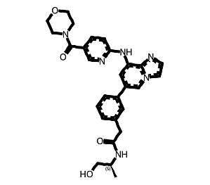 C[C@@H](CO)NC(=O)Cc1cccc(-c2cc(Nc3ccc(C(=O)N4CCOCC4)cn3)c3nccn3c2)c1